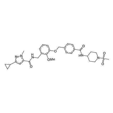 COc1c(CNC(=O)c2cc(C3CC3)nn2C)cccc1OCc1ccc(C(=O)NC2CCN(S(C)(=O)=O)CC2)cc1